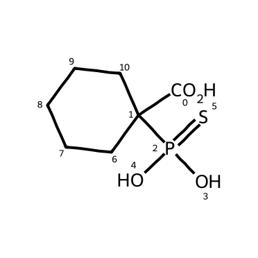 O=C(O)C1(P(O)(O)=S)CCCCC1